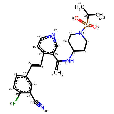 C=C(NC1CCN(S(=O)(=O)C(C)C)CC1)c1cnccc1/C=C/c1ccc(F)c(C#N)c1